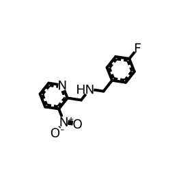 O=[N+]([O-])c1cccnc1CNCc1ccc(F)cc1